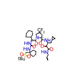 C=CCNC(=O)C(=O)C(CC1CC1)NC(=O)[C@@H]1C[C@@H](C(F)(F)F)CN1C(=O)[C@@H](NC(=O)NC1(CS(=O)(=O)C(C)(C)C)CCCCC1)C1CCCCC1